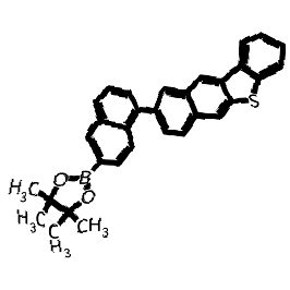 CC1(C)OB(c2ccc3c(-c4ccc5cc6sc7ccccc7c6cc5c4)cccc3c2)OC1(C)C